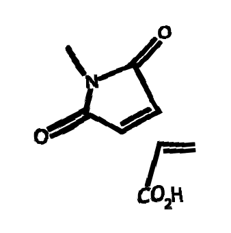 C=CC(=O)O.CN1C(=O)C=CC1=O